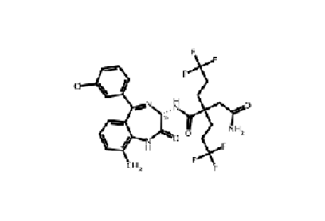 Cc1cccc2c1NC(=O)[C@@H](NC(=O)C(CCC(F)(F)F)(CCC(F)(F)F)CC(N)=O)N=C2c1cccc(Cl)c1